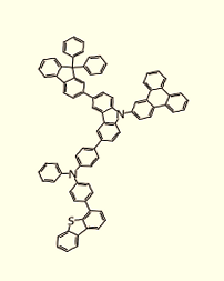 c1ccc(N(c2ccc(-c3ccc4c(c3)c3cc(-c5ccc6c(c5)C(c5ccccc5)(c5ccccc5)c5ccccc5-6)ccc3n4-c3ccc4c5ccccc5c5ccccc5c4c3)cc2)c2ccc(-c3cccc4c3sc3ccccc34)cc2)cc1